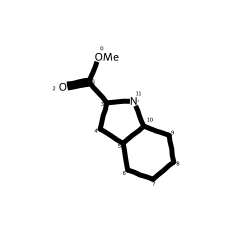 COC(=O)C1CC2CCCCC2[N]1